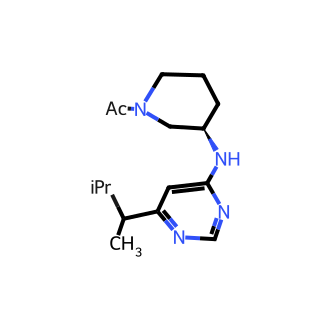 CC(=O)N1CCC[C@@H](Nc2cc(C(C)C(C)C)ncn2)C1